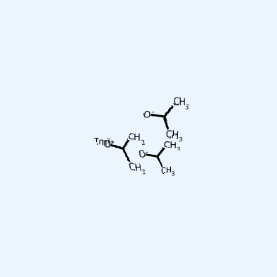 CC(C)[O-].CC(C)[O-].CC(C)[O-].[Tm+3]